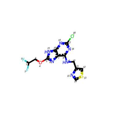 FC(F)COc1nc2c(NCc3cscn3)nc(Cl)nc2[nH]1